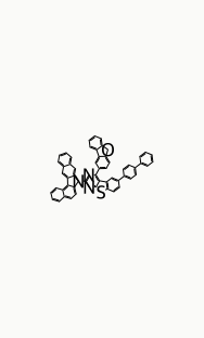 c1ccc(-c2ccc(-c3ccc4sc5nc(-n6c7cc8ccccc8cc7c7c8ccccc8ccc76)nc(-c6ccc7oc8ccccc8c7c6)c5c4c3)cc2)cc1